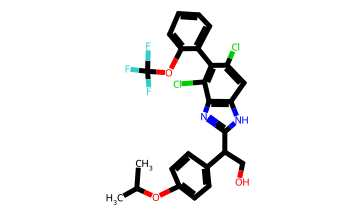 CC(C)Oc1ccc(C(CO)c2nc3c(Cl)c(-c4ccccc4OC(F)(F)F)c(Cl)cc3[nH]2)cc1